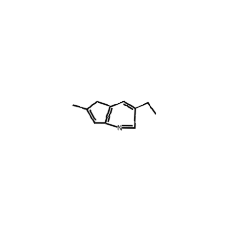 CCc1cnc2c(c1)CC(C)=C2